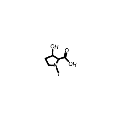 O=C(O)C1C(O)CCN1I